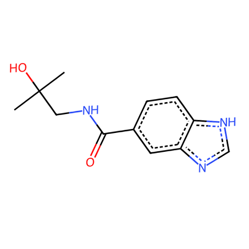 CC(C)(O)CNC(=O)c1ccc2[nH]cnc2c1